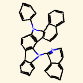 c1ccc(-n2c3ccc4c5ccccc5n(-c5nccc6ccccc56)c4c3c3ccc4ccccc4c32)cc1